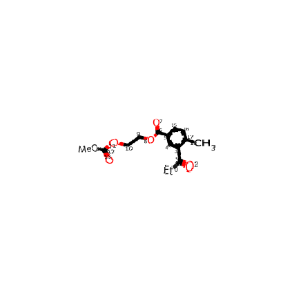 CCC(=O)c1cc(C(=O)OCCOC(=O)OC)ccc1C